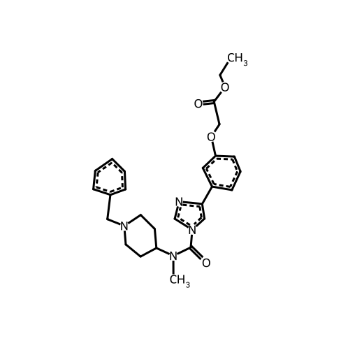 CCOC(=O)COc1cccc(-c2cn(C(=O)N(C)C3CCN(Cc4ccccc4)CC3)cn2)c1